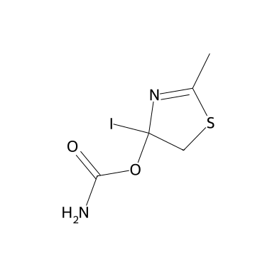 CC1=NC(I)(OC(N)=O)CS1